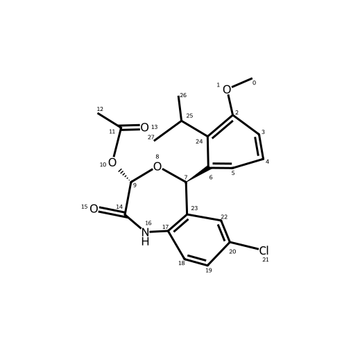 COc1cccc([C@@H]2O[C@@H](OC(C)=O)C(=O)Nc3ccc(Cl)cc32)c1C(C)C